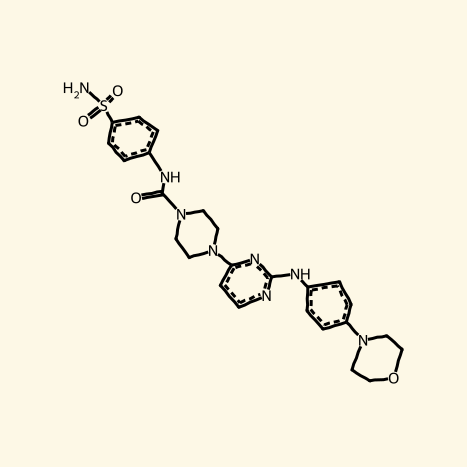 NS(=O)(=O)c1ccc(NC(=O)N2CCN(c3ccnc(Nc4ccc(N5CCOCC5)cc4)n3)CC2)cc1